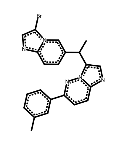 Cc1cccc(-c2ccc3ncc(C(C)c4ccc5ncc(Br)n5c4)n3n2)c1